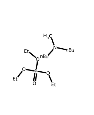 CCCCN(C)CCCC.CCOP(=O)(OCC)OCC